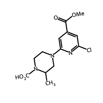 COC(=O)c1cc(Cl)nc(N2CCN(C(=O)O)C(C)C2)c1